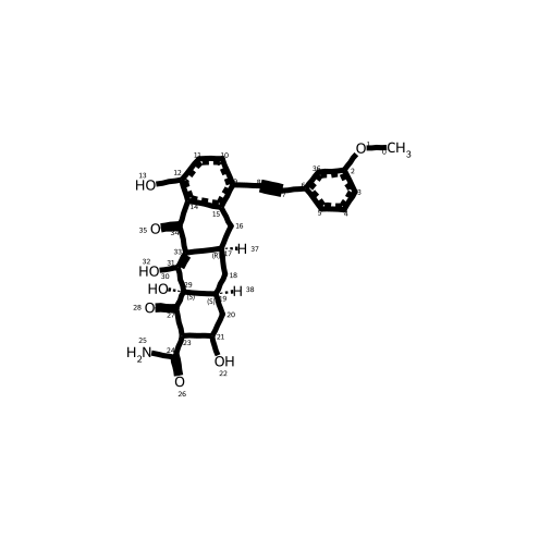 COc1cccc(C#Cc2ccc(O)c3c2C[C@H]2C[C@H]4CC(O)C(C(N)=O)C(=O)[C@@]4(O)C(O)=C2C3=O)c1